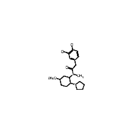 COC1CCC(N2CCCC2)C(N(C)C(=O)Cc2ccc(Cl)c(Cl)c2)C1